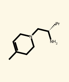 CC1=CCN(C[C@@H](N)C(C)C)CC1